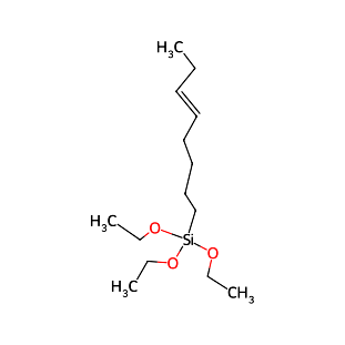 CCC=CCCCC[Si](OCC)(OCC)OCC